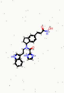 O=C(C=Cc1ccc2c(c1)CCC2N(CCc1c[nH]c2ccccc12)C(=O)c1ncc[nH]1)NO